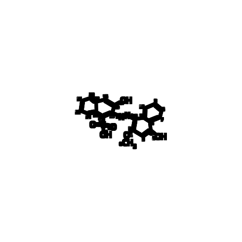 COc1cc(O)c2ccccc2c1N=Nc1c(O)cc2ccccc2c1S(=O)(=O)O